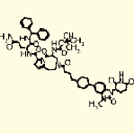 Cn1c(=O)n(C2CCC(=O)NC2=O)c2ccc(C3CCC(CCCC(=O)N4CCC5=CC[C@@H](C(=O)N[C@@H](CCC(N)=O)C(=O)NC(c6ccccc6)c6ccccc6)N5C(=O)[C@@H](NC(=O)OC(C)(C)C)C4)CC3)cc21